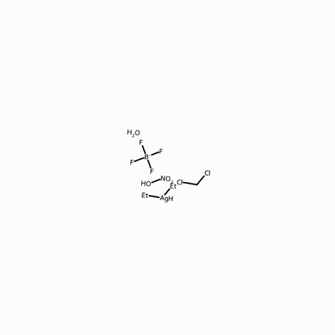 C[CH2][AgH][CH2]C.ClCCl.F[B-](F)(F)F.O.O=[N+]([O-])O